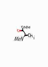 [CH2]C(NC)C(=O)OC